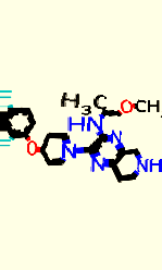 COC[C@@H](C)Nc1nc2c(nc1N1CCC(Oc3ccc(F)cc3F)CC1)CCNC2